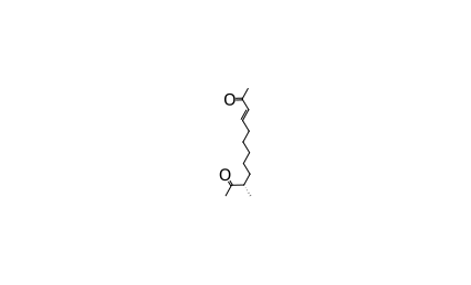 CC(=O)/C=C/CCCCC[C@H](C)C(C)=O